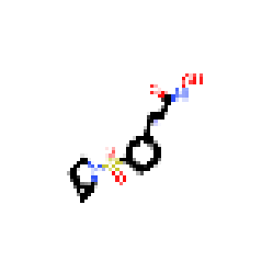 O=C(/C=C/c1cccc(S(=O)(=O)N2CC=C3C=C32)c1)NO